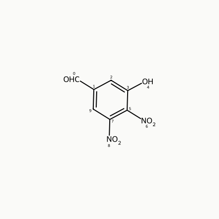 O=Cc1cc(O)c([N+](=O)[O-])c([N+](=O)[O-])c1